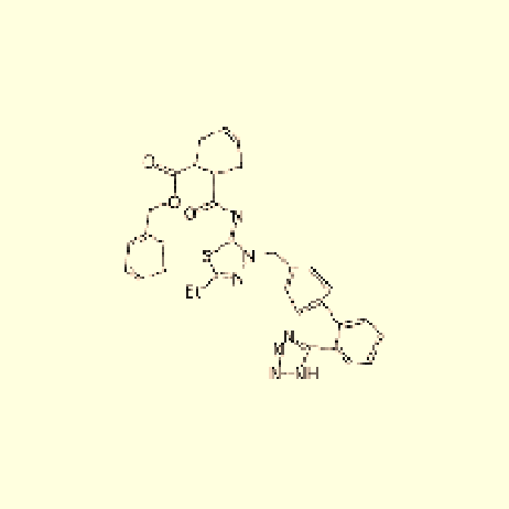 CCc1nn(Cc2ccc(-c3ccccc3-c3nnn[nH]3)cc2)c(=NC(=O)C2CC=CCC2C(=O)OCc2ccccc2)s1